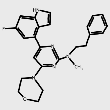 CN(CCc1ccccc1)c1nc(-c2cc(F)cc3[nH]ccc23)cc(N2CCOCC2)n1